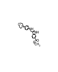 COC(=O)c1ccc2c(CNc3ccc(N4CCOCC4)cc3)c[nH]c2c1